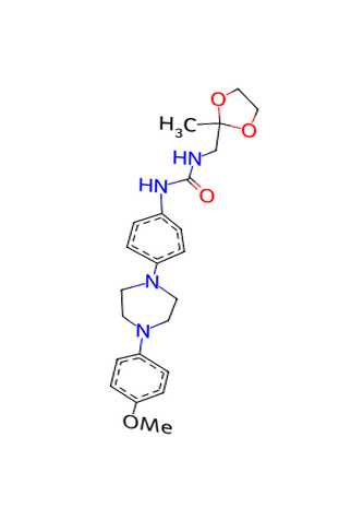 COc1ccc(N2CCN(c3ccc(NC(=O)NCC4(C)OCCO4)cc3)CC2)cc1